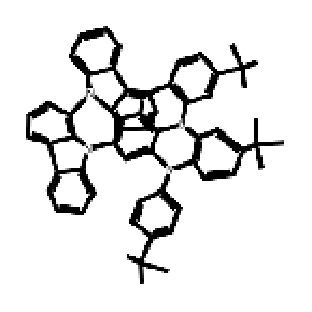 CC(C)(C)c1ccc(N2c3ccc(C(C)(C)C)cc3B3c4cc(C(C)(C)C)ccc4Oc4cc(-n5c6ccccc6c6cccc(-n7c8ccccc8c8ccccc87)c65)cc2c43)cc1